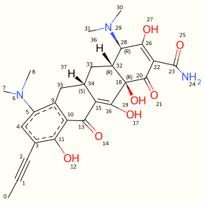 CC#Cc1cc(N(C)C)c2c(c1O)C(=O)C1=C(O)[C@@]3(O)C(=O)C(C(N)=O)=C(O)[C@H](N(C)C)[C@H]3C[C@H]1C2